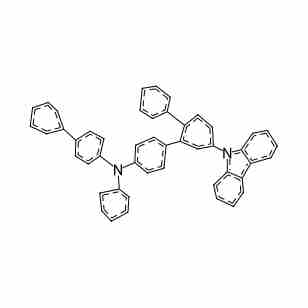 c1ccc(-c2ccc(N(c3ccccc3)c3ccc(-c4cc(-n5c6ccccc6c6ccccc65)ccc4-c4ccccc4)cc3)cc2)cc1